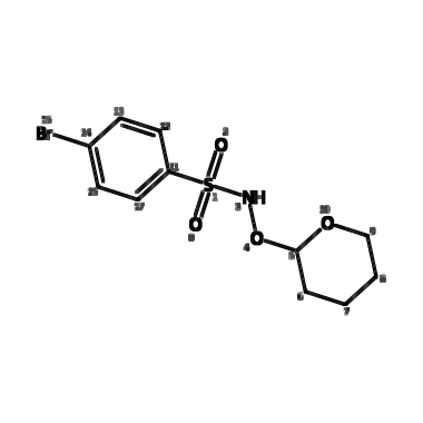 O=S(=O)(NOC1CCCCO1)c1ccc(Br)cc1